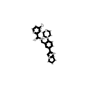 O=C(NCc1cc(-c2cn3c(n2)CCC3)ccc1N1CCOCC1)c1cc(Cl)ccn1